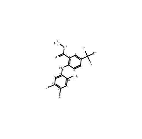 COC(=O)c1cc(C(F)(F)F)ccc1Nc1cc(F)c(F)cc1C